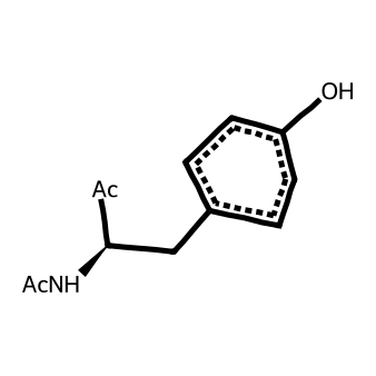 CC(=O)N[C@H](Cc1ccc(O)cc1)C(C)=O